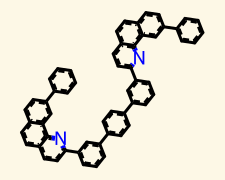 c1ccc(-c2ccc3ccc4ccc(-c5cccc(-c6ccc(-c7cccc(-c8ccc9ccc%10ccc(-c%11ccccc%11)cc%10c9n8)c7)cc6)c5)nc4c3c2)cc1